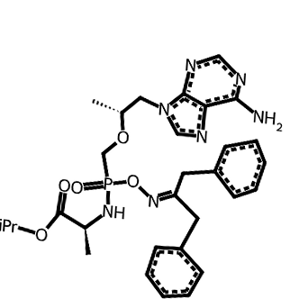 CC(C)OC(=O)[C@H](C)NP(=O)(CO[C@H](C)Cn1cnc2c(N)ncnc21)ON=C(Cc1ccccc1)Cc1ccccc1